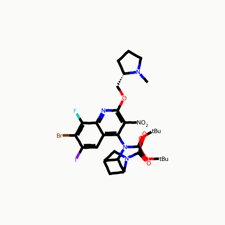 CN1CCC[C@H]1COc1nc2c(F)c(Br)c(I)cc2c(N(C(=O)OC(C)(C)C)C2C3CC2N(C(=O)OC(C)(C)C)C3)c1[N+](=O)[O-]